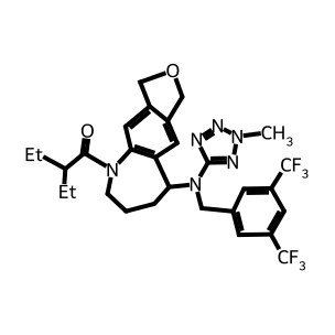 CCC(CC)C(=O)N1CCCC(N(Cc2cc(C(F)(F)F)cc(C(F)(F)F)c2)c2nnn(C)n2)c2cc3c(cc21)COC3